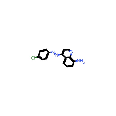 Nc1cccc2c(N=Nc3ccc(Cl)cc3)ccnc12